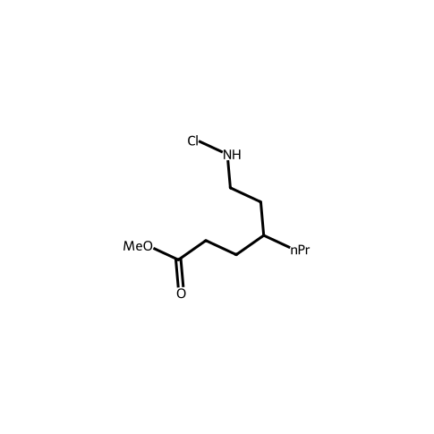 CCCC(CCNCl)CCC(=O)OC